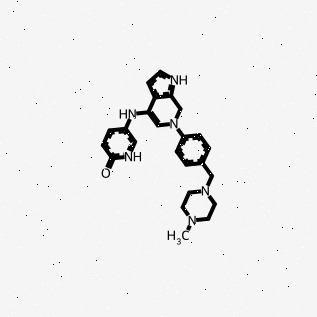 CN1CCN(Cc2ccc(N3C=C(Nc4ccc(=O)[nH]c4)c4cc[nH]c4C3)cc2)CC1